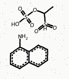 CC(OS(=O)(=O)O)[SH](=O)=O.Nc1cccc2ccccc12